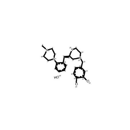 CN1CCN(c2ccccc2C=C2CN(Cc3ccc(Cl)c(Cl)c3)CCS2)CC1.Cl